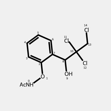 CC(=O)NOc1ccccc1C(O)C(Cl)(Cl)CCl